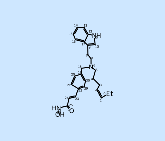 CC/C=C\CCCN(CCc1c[nH]c2ccccc12)Cc1ccc(/C=C/C(=O)NO)cc1